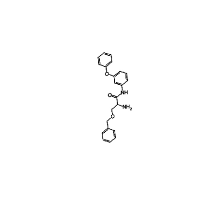 NC(COCc1ccccc1)C(=O)Nc1cccc(Oc2ccccc2)c1